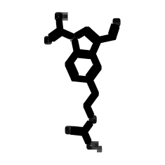 CC(=O)OCCc1ccc2c(c1)c(C=O)cn2C(=O)O